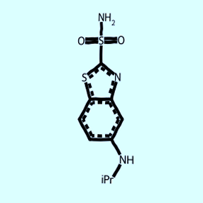 CC(C)Nc1ccc2sc(S(N)(=O)=O)nc2c1